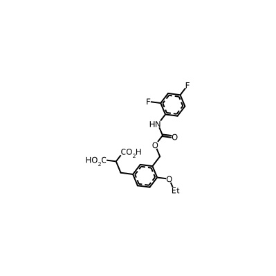 CCOc1ccc(CC(C(=O)O)C(=O)O)cc1COC(=O)Nc1ccc(F)cc1F